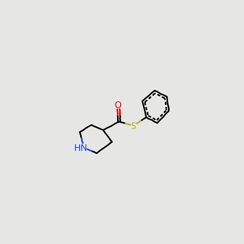 O=C(Sc1ccccc1)C1CCNCC1